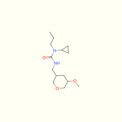 CCCN(C(=O)NCC1COCC(OC)C1)C1CC1